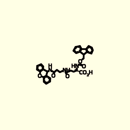 O=C(CC[C@H](NC(=O)OCC1c2ccccc2-c2ccccc21)C(=O)O)NCCC(=O)NC1c2ccccc2Oc2ccccc21